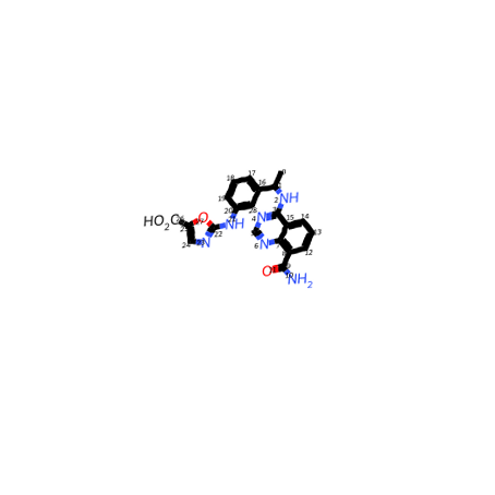 CC(Nc1ncnc2c(C(N)=O)cccc12)c1cccc(Nc2ncc(C(=O)O)o2)c1